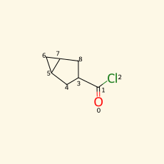 O=C(Cl)C1CC2CC2C1